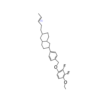 C/C=C/CCC1CCC2CC(c3ccc(COc4ccc(OCC)c(F)c4F)cc3)CCC2C1